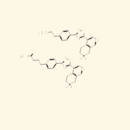 CC1(C)CCc2c(cncc2-c2nc(-c3ccc(CCCC(=O)O)cc3)no2)C1.CC1(C)CCc2c(cncc2-c2nc(-c3ccc(CCN)cc3)no2)C1